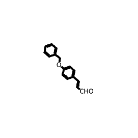 O=C/C=C/c1ccc(OCc2ccccc2)cc1